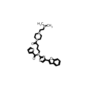 CN(C)CCN1CCN(C(=O)CCCN(C(=O)c2cccs2)c2nc(-c3cc4ccccc4o3)cs2)CC1